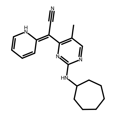 Cc1cnc(NC2CCCCCC2)nc1/C(C#N)=C1\C=CC=CN1